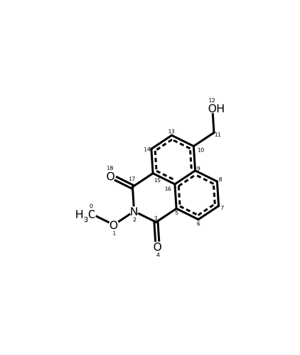 CON1C(=O)c2cccc3c(CO)ccc(c23)C1=O